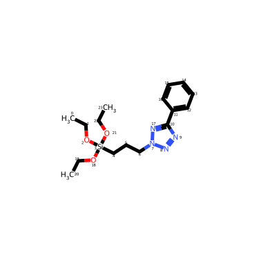 CCO[Si](CCCn1nnc(-c2ccccc2)n1)(OCC)OCC